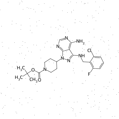 CC(C)(C)OC(=O)N1CCC(n2nc(NCc3c(F)cccc3Cl)c3c(N)ncnc32)CC1